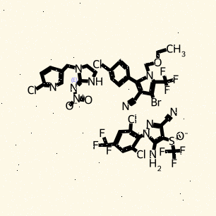 CCOCn1c(-c2ccc(Cl)cc2)c(C#N)c(Br)c1C(F)(F)F.N#Cc1nn(-c2c(Cl)cc(C(F)(F)F)cc2Cl)c(N)c1[S+]([O-])C(F)(F)F.O=[N+]([O-])/N=C1\NCCN1Cc1ccc(Cl)nc1